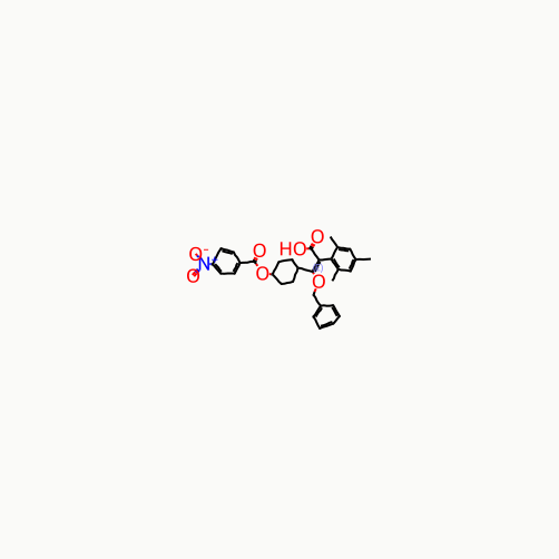 Cc1cc(C)c(/C(C(=O)O)=C(\OCc2ccccc2)C2CCC(OC(=O)c3ccc([N+](=O)[O-])cc3)CC2)c(C)c1